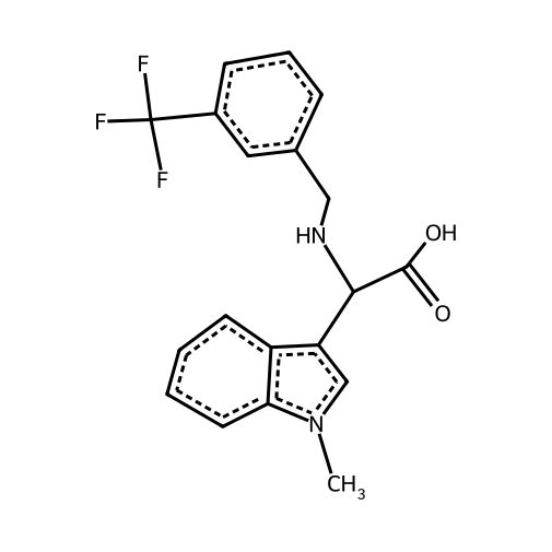 Cn1cc(C(NCc2cccc(C(F)(F)F)c2)C(=O)O)c2ccccc21